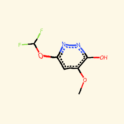 COc1cc(OC(F)F)nnc1O